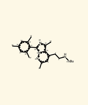 CCCCNCCc1cc(C)nn2c(-c3c(C)cc(C)cc3C)nc(C)c12